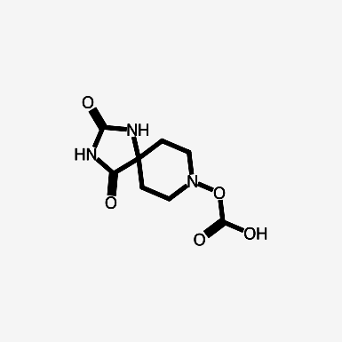 O=C1NC(=O)C2(CCN(OC(=O)O)CC2)N1